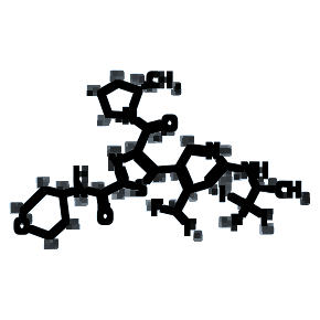 C[C@H](Nc1cc(C(F)F)c(-c2sc(C(=O)NC3CCOCC3)nc2C(=O)N2CCC[C@@H]2C)cn1)C(F)(F)F